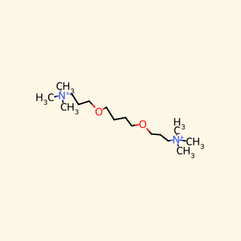 C[N+](C)(C)CCCOCCCCOCCC[N+](C)(C)C